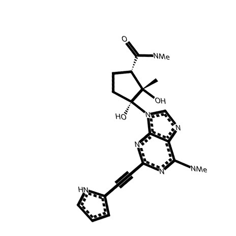 CNC(=O)[C@H]1CC[C@](O)(n2cnc3c(NC)nc(C#Cc4ccc[nH]4)nc32)[C@@]1(C)O